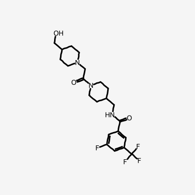 O=C(NCC1CCN(C(=O)CN2CCC(CO)CC2)CC1)c1cc(F)cc(C(F)(F)F)c1